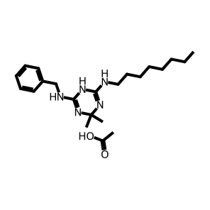 CC(=O)O.CCCCCCCCNC1=NC(C)(C)N=C(NCc2ccccc2)N1